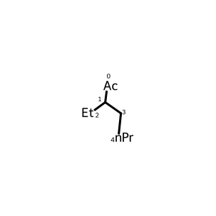 [CH2]C(=O)C(CC)CCCC